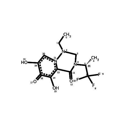 CCN1CN([C@H](C)C(F)(F)F)C(=O)c2c(O)c(=O)c(O)cn21